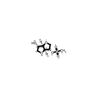 CS(=O)(=O)O[C@H]1CO[C@H]2[C@@H]1OC[C@@H]2O